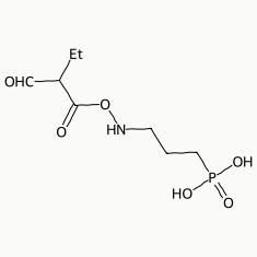 CCC(C=O)C(=O)ONCCCP(=O)(O)O